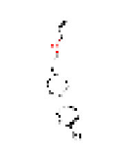 C=CCOCC[C@H]1CC[C@H](c2ccc(C#N)cc2)CC1